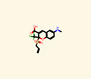 C=CCS(=O)(=O)C1(C(F)(F)F)Oc2ccc(NC)cc2C=C1C(=O)O